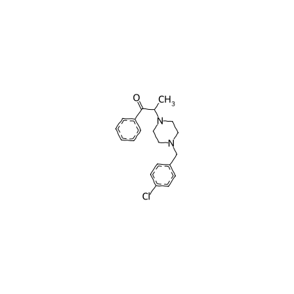 CC(C(=O)c1ccccc1)N1CCN(Cc2ccc(Cl)cc2)CC1